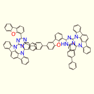 c1ccc(-c2ccc(C3=NC(n4c5ccccc5c5ccc6c7ccccc7n(-c7ccccc7)c6c54)=NC(c4cccc5c4oc4ccc(-c6ccc(-c7cccc(-n8c9ccccc9c9ccc%10c%11ccccc%11n(-c%11nc(-c%12ccccc%12)nc(-c%12cccc%13c%12oc%12ccccc%12%13)n%11)c%10c98)c7)cc6)cc45)N3)cc2)cc1